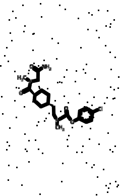 CN(CC[C@H]1CC[C@H](C(=O)N(C)CC(N)=O)CC1)C(=O)Oc1ccc(Cl)cc1